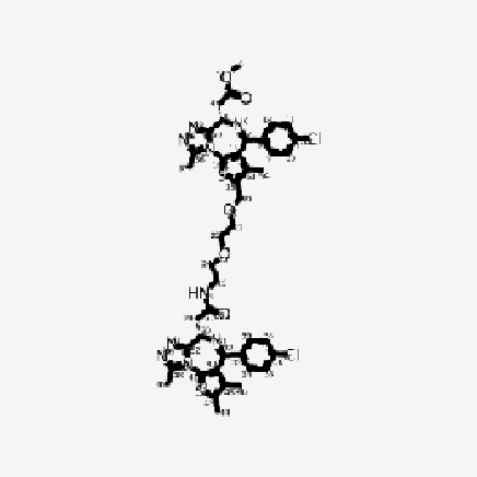 COC(=O)C[C@@H]1N=C(c2ccc(Cl)cc2)c2c(sc(COCCOCCNC(=O)C[C@@H]3N=C(c4ccc(Cl)cc4)c4c(sc(C)c4C)-n4c(C)nnc43)c2C)-n2c(C)nnc21